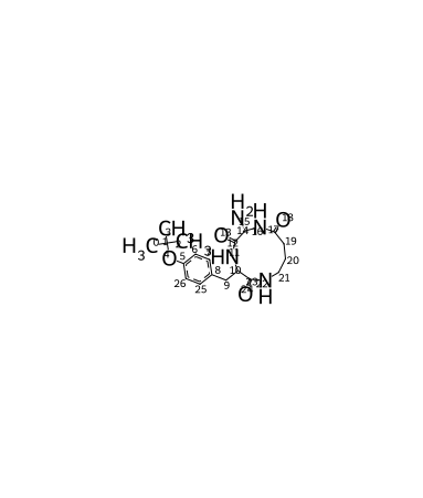 CC(C)(C)Oc1ccc(CC2NC(=O)[C@H](N)NC(=O)CCCNC2=O)cc1